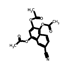 CC(=O)Oc1cc(OC(C)=O)c2cc(C#N)ccc2c1OC(C)=O